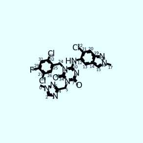 Cn1cnc(Cn2c(=O)nc(Nc3cc4cn(C)nc4cc3Cl)n(Cc3cc(Cl)c(F)cc3Cl)c2=O)n1